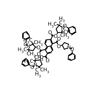 CC1(C)CC(OC(=O)c2ccc3c(C(=O)OC4CC(C)(C)N(Oc5ccccc5)C4(C)C)c(C(=O)OC4CC(C)(C)N(Oc5ccccc5)C4(C)C)ccc3c2C(=O)OC2CCN(Oc3ccccc3)C2)C(C)(C)N1Oc1ccccc1